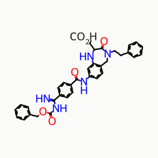 N=C(NC(=O)OCc1ccccc1)c1ccc(C(=O)Nc2ccc3c(c2)NC(CC(=O)O)C(=O)N(CCc2ccccc2)C3)cc1